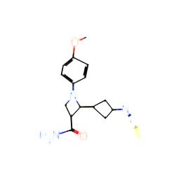 COc1ccc(N2CC(C(N)=O)C2C2CC(N=C=S)C2)cc1